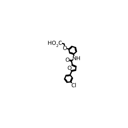 O=C(O)COc1cccc(NC(=O)c2ccc(-c3cccc(Cl)c3)o2)c1